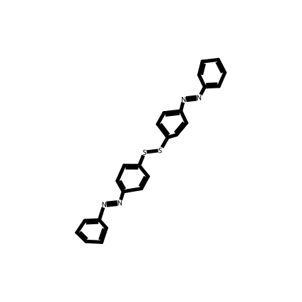 c1ccc(/N=N/c2ccc(SSc3ccc(/N=N/c4ccccc4)cc3)cc2)cc1